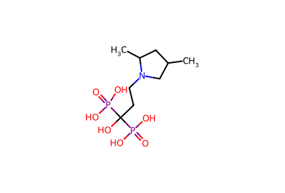 CC1CC(C)N(CCC(O)(P(=O)(O)O)P(=O)(O)O)C1